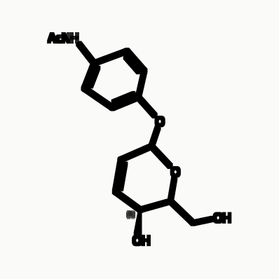 CC(=O)Nc1ccc(OC2C=C[C@H](O)C(CO)O2)cc1